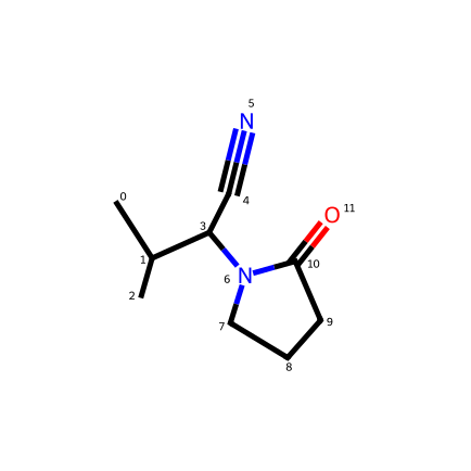 CC(C)C(C#N)N1CCCC1=O